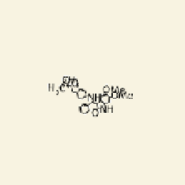 COc1cc2c(cc1OC)C(=C(Nc1ccc(CC(=O)N(C)C)cc1)c1ccccc1)C(=O)N2